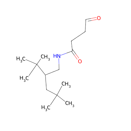 CC(C)(C)CC(CNC(=O)CCC=O)C(C)(C)C